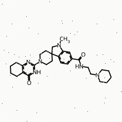 CN1CC2(CCN(c3nc4c(c(=O)[nH]3)CCCC4)CC2)c2ccc(C(=O)NCCN3CCCCC3)cc21